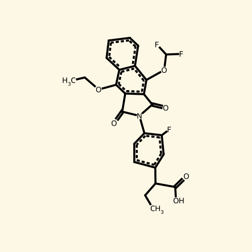 CCOc1c2c(c(OC(F)F)c3ccccc13)C(=O)N(c1ccc(C(CC)C(=O)O)cc1F)C2=O